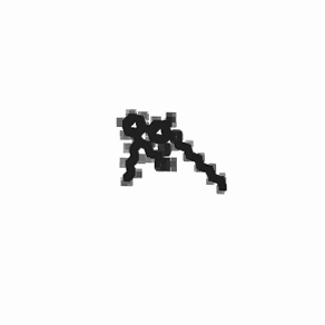 CCCCCCCCCOc1ccc(-c2ccccc2C(CCCCC)CCC(=O)O)cc1F